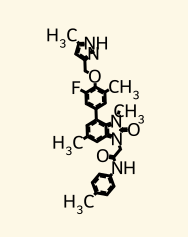 Cc1ccc(NC(=O)Cn2c(=O)n(C)c3c(-c4cc(C)c(OCc5cc(C)[nH]n5)c(F)c4)cc(C)cc32)cc1